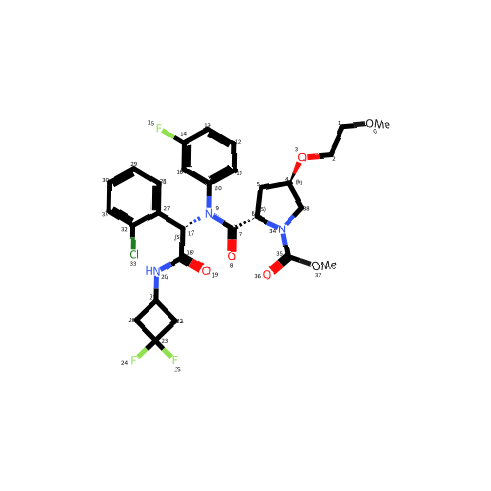 COCCO[C@@H]1C[C@@H](C(=O)N(c2cccc(F)c2)[C@H](C(=O)NC2CC(F)(F)C2)c2ccccc2Cl)N(C(=O)OC)C1